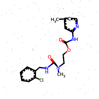 Cc1ccnc(NC(=O)OCCN(C)C(=O)NCc2ccccc2Cl)c1